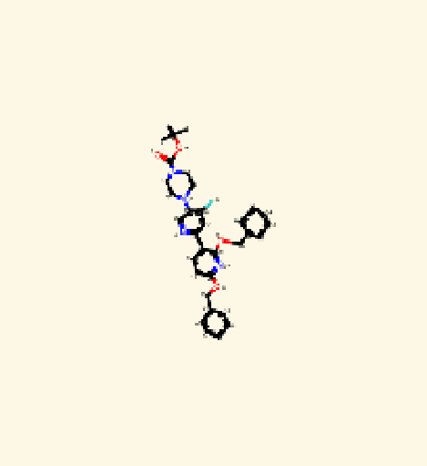 CC(C)(C)OC(=O)N1CCN(c2cnc(-c3ccc(OCc4ccccc4)nc3OCc3ccccc3)cc2F)CC1